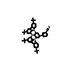 CC(C)(C)c1ccc2c(c1)c1cc(C(C)(C)C)cc3c1n2-c1cc(-c2cccc(C#N)c2)cc2c1B3c1cc(C(C)(C)C)cc3c4cc(C(C)(C)C)ccc4n-2c13